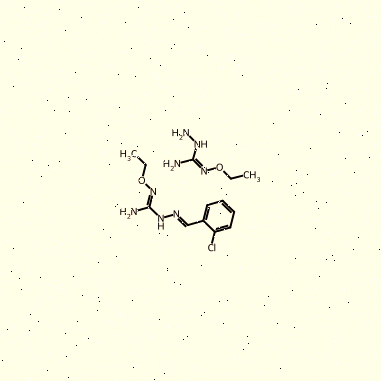 CCON=C(N)NN.CCON=C(N)NN=Cc1ccccc1Cl